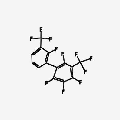 Fc1c(-c2c(F)c(F)c(F)c(C(F)(F)F)c2F)cccc1C(F)(F)F